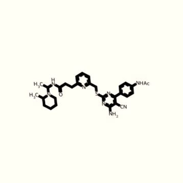 CC(=O)Nc1ccc(-c2nc(SCc3cccc(CCC(=O)NC(C)N4CCCCC4C)n3)nc(N)c2C#N)cc1